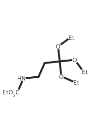 CCOC(=O)NCCC(OCC)(OCC)OCC